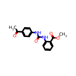 COC(=O)c1ccccc1NC(=O)Nc1ccc(C(C)=O)cc1